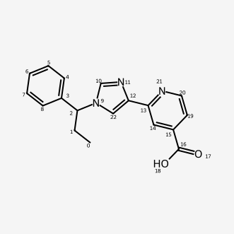 CCC(c1ccccc1)n1cnc(-c2cc(C(=O)O)ccn2)c1